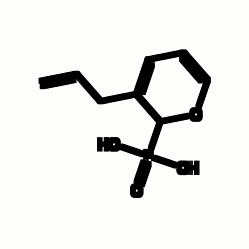 C=CCC1=CC=COC1P(=O)(O)O